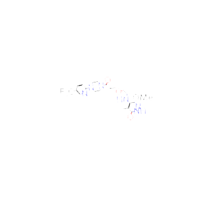 COC[C@@H](COCCC(=O)N1CCN(c2ccc(C(F)(F)F)cn2)CC1)Nc1cn[nH]c(=O)c1C